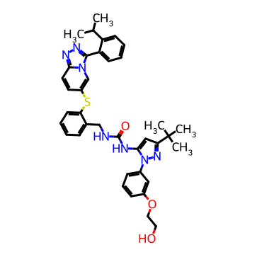 CC(C)c1ccccc1-c1nnc2ccc(Sc3ccccc3CNC(=O)Nc3cc(C(C)(C)C)nn3-c3cccc(OCCO)c3)cn12